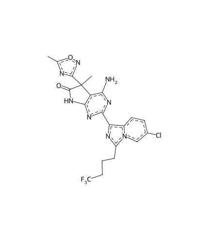 Cc1nc(C2(C)C(=O)Nc3nc(-c4nc(CCCC(F)(F)F)n5cc(Cl)ccc45)nc(N)c32)no1